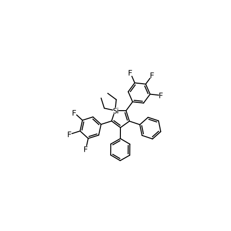 CC[Si]1(CC)C(c2cc(F)c(F)c(F)c2)=C(c2ccccc2)C(c2ccccc2)=C1c1cc(F)c(F)c(F)c1